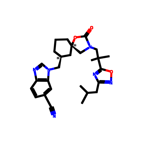 CC(C)Cc1noc(C(C)(C)CN2C[C@@]3(CCC[C@H](Cn4cnc5ccc(C#N)cc54)C3)OC2=O)n1